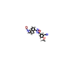 CC(C)Oc1ccc(-c2nc(-c3cccc4c3CCC43CCN(C=O)C3)no2)cc1C#N